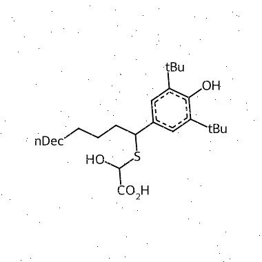 CCCCCCCCCCCCCC(SC(O)C(=O)O)c1cc(C(C)(C)C)c(O)c(C(C)(C)C)c1